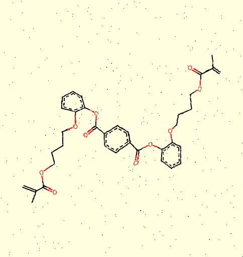 C=C(C)C(=O)OCCCCOc1ccccc1OC(=O)c1ccc(C(=O)Oc2ccccc2OCCCCOC(=O)C(=C)C)cc1